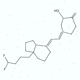 C=C1CC/C(=C/C=C2\CCCC3(CCCC(F)F)CCCC23)CC1O